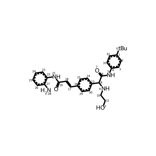 CC(C)(C)c1ccc(NC(=O)C(NCCO)c2ccc(C=CC(=O)Nc3ccccc3N)cc2)cc1